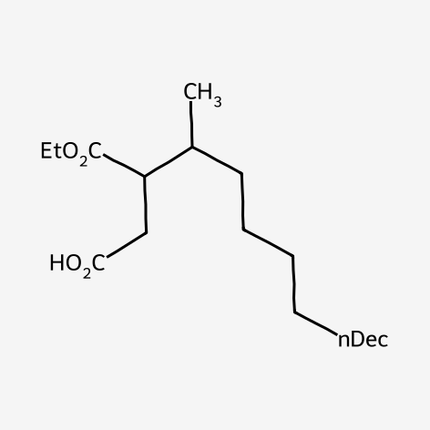 CCCCCCCCCCCCCCC(C)C(CC(=O)O)C(=O)OCC